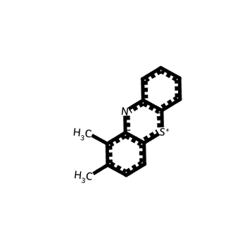 Cc1ccc2[s+]c3ccccc3nc2c1C